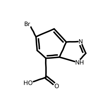 O=C(O)c1cc(Br)cc2nc[nH]c12